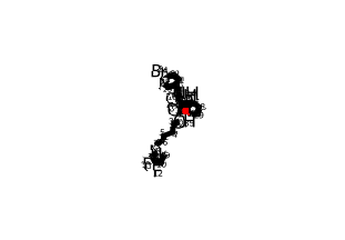 O=C(OCCCCCN1CCC(F)(F)C1)[C@H]1[C@H](C(=O)Nc2ccc(Br)nc2)[C@@H]2CC[C@H]1C21CC1